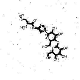 [CH2][CH]CSC[C@@H](N)C(=O)Nc1cn([C@@H]2OC(CO)C(OC3OC(CO)C(O)C(O)C3O)C(O)C2O)nn1